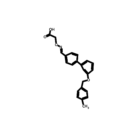 Cc1ccc(COc2cccc(-c3ccc(C=NOCC(=O)O)cc3)c2)cc1